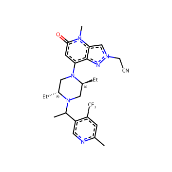 CC[C@H]1CN(C(C)c2cnc(C)cc2C(F)(F)F)[C@H](CC)CN1c1cc(=O)n(C)c2cn(CC#N)nc12